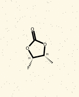 C[C@H]1OC(=O)O[C@H]1F